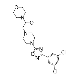 O=C(CN1CCN(c2nc(-c3cc(Cl)cc(Cl)c3)no2)CC1)N1CCOCC1